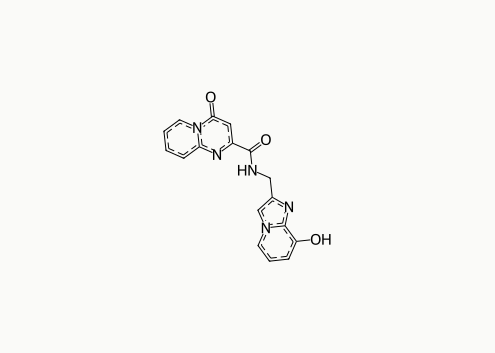 O=C(NCc1cn2cccc(O)c2n1)c1cc(=O)n2ccccc2n1